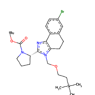 CC(C)(C)OC(=O)N1CCC[C@H]1c1nc2c(n1COCC[Si](C)(C)C)CCc1cc(Br)ccc1-2